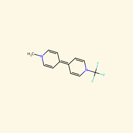 CN1C=CC(=C2C=CN(C(F)(F)F)C=C2)C=C1